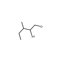 CCC(C)C(S)C[O]